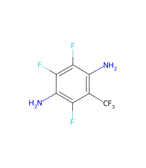 Nc1c(F)c(F)c(N)c(C(F)(F)F)c1F